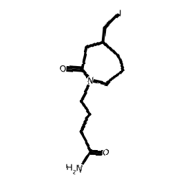 NC(=O)CCCN1CCCC(CI)CC1=O